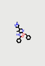 Cc1c(-c2cnn(C)c2)cnc(OCc2ccccc2)c1NC(=O)c1ccccc1